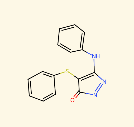 O=C1N=NC(Nc2ccccc2)=C1Sc1ccccc1